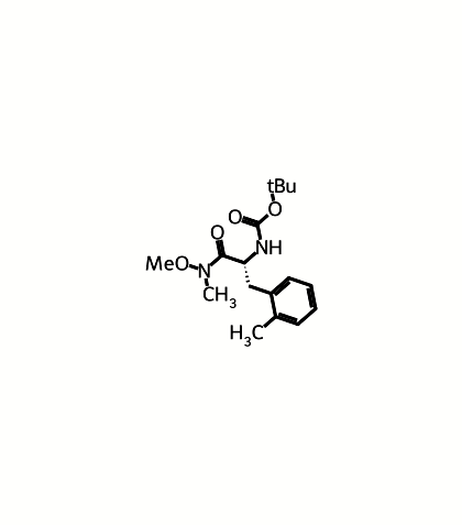 CON(C)C(=O)[C@@H](Cc1ccccc1C)NC(=O)OC(C)(C)C